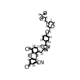 CS(=O)(=O)CCN1CCO[C@@H](COc2ccc(-c3nnc(Cc4ccc(Cl)c(Oc5cc(Cl)cc(C#N)c5)c4F)o3)cc2)C1